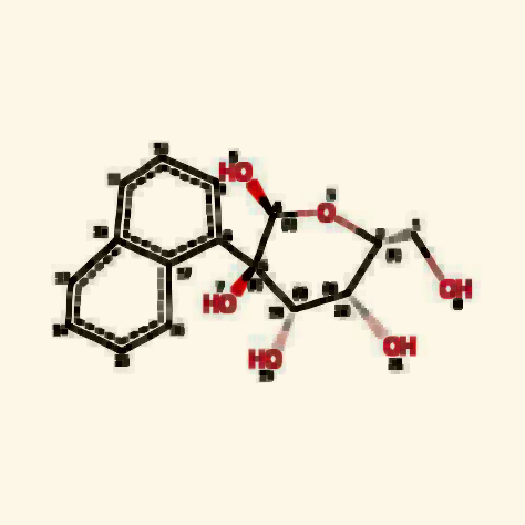 OC[C@H]1O[C@H](O)[C@@](O)(c2cccc3ccccc23)[C@@H](O)[C@H]1O